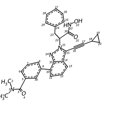 CN(C)C(=O)c1cccc(-c2cccc3c(C#CC4CC4)n(C(Cc4ccccc4)C(=O)NO)nc23)c1